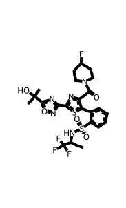 CC(NS(=O)(=O)c1ccccc1-c1sc(-c2noc(C(C)(C)O)n2)nc1C(=O)N1CCC(F)CC1)C(F)(F)F